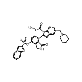 CC(C)(C)OC(=O)n1c(-c2ccc(OS(=O)(=O)c3cc4ccccc4s3)c3c2C(=O)NC3)cc2cc(CN3CCCCC3)ccc21